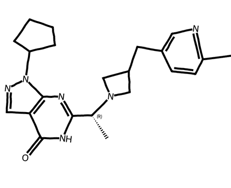 Cc1ccc(CC2CN([C@H](C)c3nc4c(cnn4C4CCCC4)c(=O)[nH]3)C2)cn1